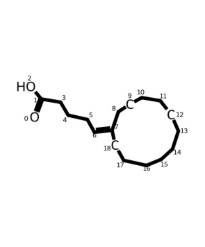 O=C(O)CCCC=C1CCCCCCCCCCC1